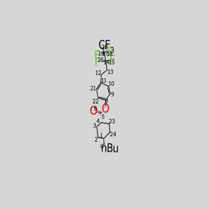 CCCC[C@H]1CC[C@H](C(=O)Oc2ccc(CCC(F)(F)C(F)(F)C(F)(F)F)cc2)CC1